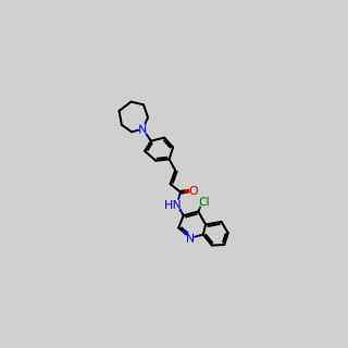 O=C(C=Cc1ccc(N2CCCCCC2)cc1)Nc1cnc2ccccc2c1Cl